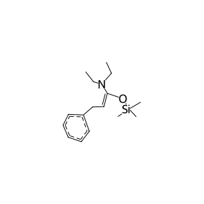 CCN(CC)/C(=C\Cc1ccccc1)O[Si](C)(C)C